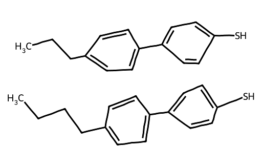 CCCCc1ccc(-c2ccc(S)cc2)cc1.CCCc1ccc(-c2ccc(S)cc2)cc1